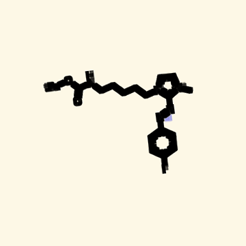 C[n+]1ccn(CCCCCNC(=O)OC(C)(C)C)c1/N=N/c1ccc(F)cc1